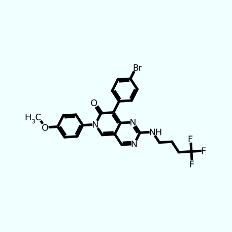 COc1ccc(-n2cc3cnc(NCCCC(F)(F)F)nc3c(-c3ccc(Br)cc3)c2=O)cc1